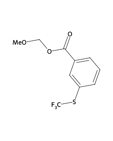 [CH2]OCOC(=O)c1cccc(SC(F)(F)F)c1